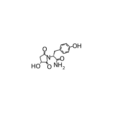 NC(=O)[C@H](Cc1ccc(O)cc1)N1C(=O)CC(O)C1=O